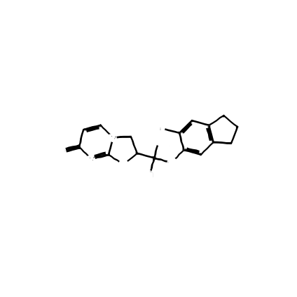 CC(C)(Oc1cc2c(cc1Br)CCC2)C1Cn2ccc(=O)nc2O1